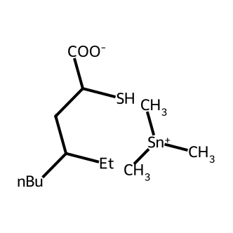 CCCCC(CC)CC(S)C(=O)[O-].[CH3][Sn+]([CH3])[CH3]